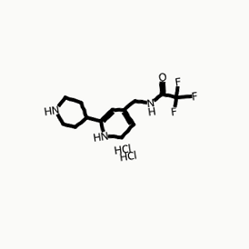 Cl.Cl.O=C(NCC1=CCNC(C2CCNCC2)=C1)C(F)(F)F